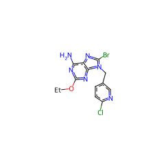 CCOc1nc(N)c2nc(Br)n(Cc3ccc(Cl)nc3)c2n1